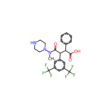 CN(C(=O)C(c1cc(C(F)(F)F)cc(C(F)(F)F)c1)C(C(=O)O)c1ccccc1)N1CCNCC1